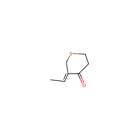 C/C=C1\CSCCC1=O